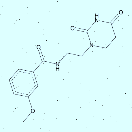 COc1cccc(C(=O)NCCN2CCC(=O)NC2=O)c1